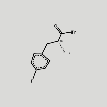 CC(C)C(=O)[C@H](N)Cc1ccc(F)cc1